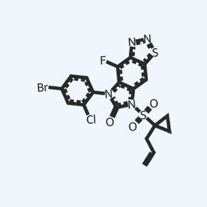 C=CCC1(S(=O)(=O)n2c(=O)n(-c3ccc(Br)cc3Cl)c3c(F)c4nnsc4cc32)CC1